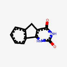 O=c1[nH]c2c(c(=O)[nH]1)Cc1ccccc1-2